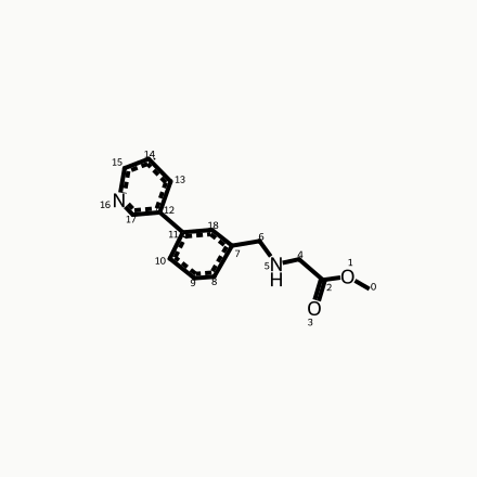 COC(=O)CNCc1cccc(-c2c[c]cnc2)c1